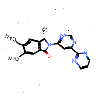 CC[C@H]1c2cc(OC)c(OC)cc2C(=O)N1c1cc(-c2ncccn2)ncn1